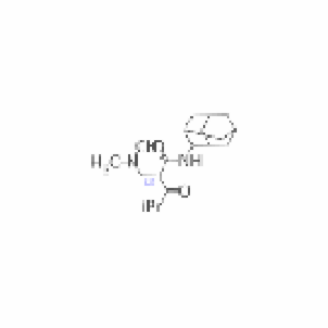 CC(C)C(=O)/C(=C/N(C)C)C(=O)NC1C2CC3CC(C2)CC1C3